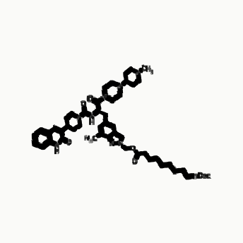 CCCCCCCCCCCCCCCCCCC(=O)OCn1cc2cc(C[C@@H](NC(=O)N3CCC(c4cc5ccccc5[nH]c4=O)CC3)C(=O)N3CCN(C4CCN(C)CC4)CC3)cc(C)c2n1